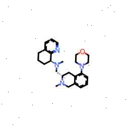 CN1Cc2cccc(N3CCOCC3)c2C[C@H]1CN(C)[C@H]1CCCc2cccnc21